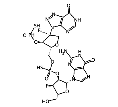 Nc1nc2c(ncn2[C@@H]2O[C@H](CO)[C@@H](F)[C@H]2OP(=O)(S)OC[C@H]2OC[C@](F)(n3nnc4c(=O)[nH]cnc43)[C@@H]2O[PH](=O)S)c(=O)[nH]1